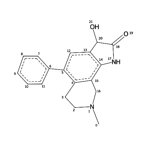 CN1CCc2c(-c3ccccc3)cc3c(c2C1)NC(=O)C3O